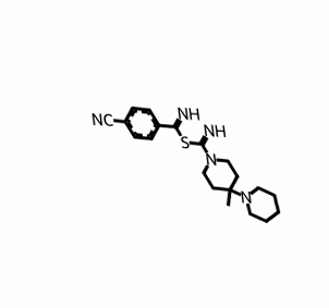 CC1(N2CCCCC2)CCN(C(=N)SC(=N)c2ccc(C#N)cc2)CC1